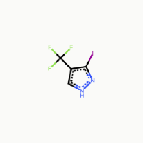 FC(F)(F)c1c[nH]nc1I